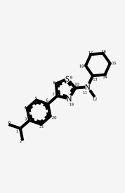 CC(C)c1ccc(-c2csc(N(C)C3CCCCC3)n2)cc1